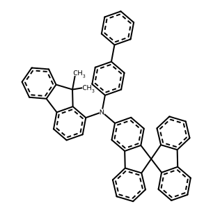 CC1(C)c2ccccc2-c2cccc(N(c3ccc(-c4ccccc4)cc3)c3ccc4c(c3)-c3ccccc3C43c4ccccc4-c4ccccc43)c21